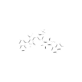 CN1C(=O)C2=C(c3cccc4ccccc34)N(C)C(=O)C2=C1c1cc(C2=C3C(=O)N(C)C(c4cccc5ccccc45)=C3C(=O)N2C)cc(C(C)(C)C)c1